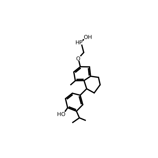 Cc1cc(OCPO)cc2c1C(c1ccc(O)c(C(C)C)c1)CCC2